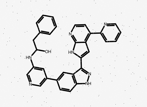 OC(Cc1ccccc1)Nc1cncc(-c2ccc3[nH]nc(-c4cc5c(-c6ccccn6)ccnc5[nH]4)c3c2)c1